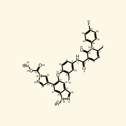 Cc1ccc(C(=O)Nc2ccc(Oc3cc4cnn(C(C)C)c4cc3-c3cnn(C(=O)OC(C)(C)C)c3)c(F)c2)c(=O)n1-c1ccc(F)cc1